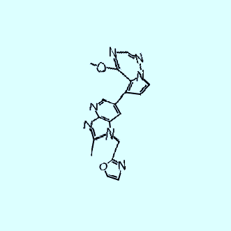 COc1ncnn2ccc(-c3cnc4nc(C)n(Cc5ncco5)c4c3)c12